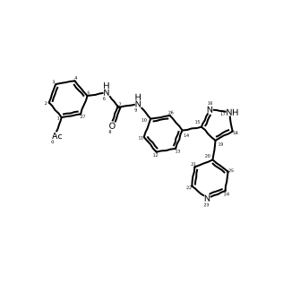 CC(=O)c1cccc(NC(=O)Nc2cccc(-c3n[nH]cc3-c3ccncc3)c2)c1